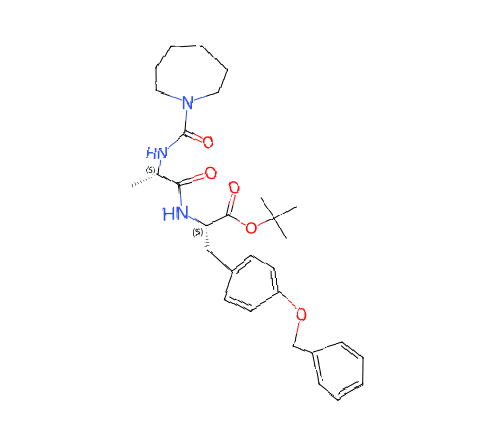 C[C@H](NC(=O)N1CCCCCC1)C(=O)N[C@@H](Cc1ccc(OCc2ccccc2)cc1)C(=O)OC(C)(C)C